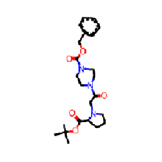 CC(C)(C)OC(=O)C1CCCN1CC(=O)N1CCN(C(=O)OCc2ccccc2)CC1